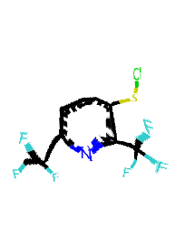 FC(F)(F)c1ccc(SCl)c(C(F)(F)F)n1